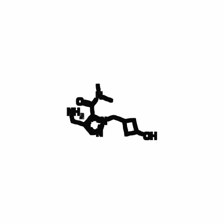 CN(C)C(=O)c1c(CN)cnn1CC1CC(O)C1